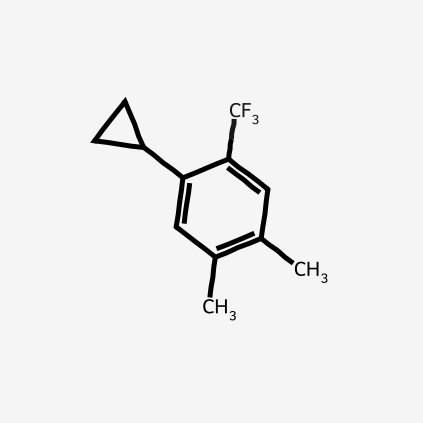 Cc1cc(C2CC2)c(C(F)(F)F)cc1C